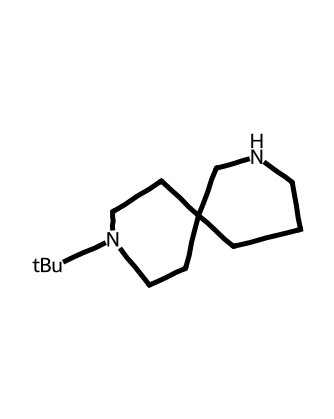 CC(C)(C)N1CCC2(CCCNC2)CC1